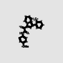 COc1ccc(NC(=O)C(=O)c2cc(-c3ccccc3C)c3ccccn23)cc1